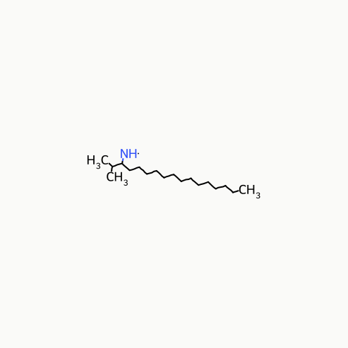 CCCCCCCCCCCCCCC([NH])C(C)C